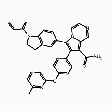 C=CC(=O)N1CCc2cc(-c3c(-c4ccc(Oc5cccc(C)n5)cc4)c(C(N)=O)c4cnccn34)ccc21